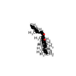 C=Cc1ccc(C(=O)Oc2c(C)cc(CC3CCC4C5CCC(C5Cc5cc(C)c(Oc6c(F)c(F)c(C(C)(C)Oc7c(C)cc(C(C)(C)Oc8c(C)cc(C(C)(C)C)cc8C)cc7C)c(F)c6F)c(C)c5)C34)cc2C)cc1